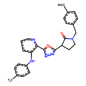 COc1ccc(CN2CCC(c3nnc(-c4ncccc4Nc4ccc(C(F)(F)F)cc4)o3)C2=O)cc1